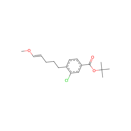 COC=CCCCc1ccc(C(=O)OC(C)(C)C)cc1Cl